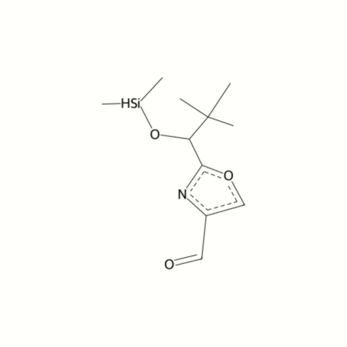 C[SiH](C)OC(c1nc(C=O)co1)C(C)(C)C